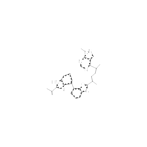 CC(C)c1nc2c(-c3cccc4nc(C(C)CCC(C)c5ncnc6c5cnn6C)oc34)cccc2[nH]1